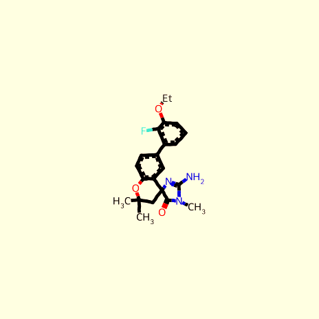 CCOc1cccc(-c2ccc3c(c2)C2(CC(C)(C)O3)N=C(N)N(C)C2=O)c1F